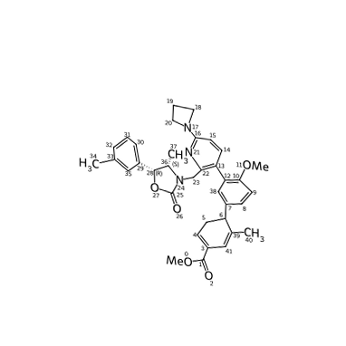 COC(=O)C1=CCC(c2ccc(OC)c(-c3ccc(N4CCC4)nc3CN3C(=O)O[C@H](c4cccc(C)c4)[C@@H]3C)c2)C(C)=C1